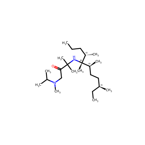 CCC[C@H](C)[C@@](C)(NC(C)(C)C(=O)CN(C)C(C)C)[C@@H](C)CC[C@@H](C)CC